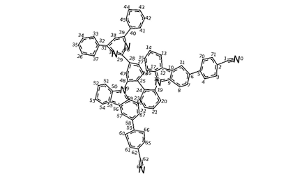 N#Cc1ccc(-c2ccc3c(c2)c2ccccc2n3-c2ccccc2-c2ccc(-c3nc(-c4ccccc4)cc(-c4ccccc4)n3)cc2-n2c3ccccc3c3cc(-c4ccc(C#N)cc4)ccc32)cc1